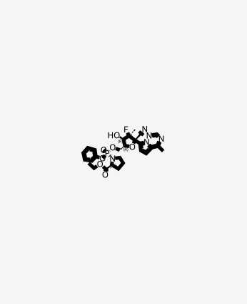 CCOC(=O)[C@@H]1CCCN1P(=O)(OC[C@H]1O[C@@](C#N)(c2ccc3c(C)ncnn23)[C@](C)(F)[C@@H]1O)Oc1ccccc1